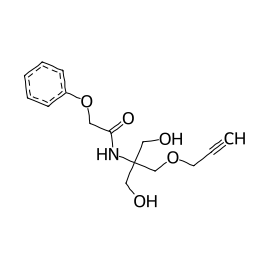 C#CCOCC(CO)(CO)NC(=O)COc1ccccc1